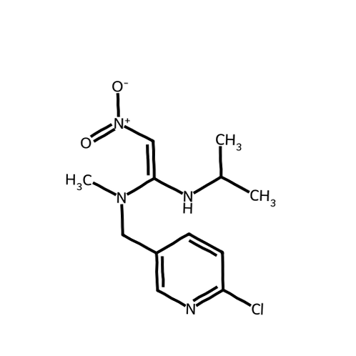 CC(C)NC(=C[N+](=O)[O-])N(C)Cc1ccc(Cl)nc1